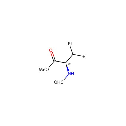 CCC(CC)[C@@H](NC=O)C(=O)OC